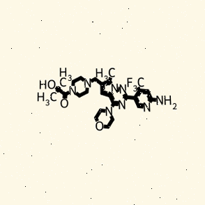 Cc1c(CN2CCN(C(=O)C(C)(C)O)CC2)cc2c(N3CCOCC3)nc(-c3cnc(N)cc3C(F)(F)F)nn12